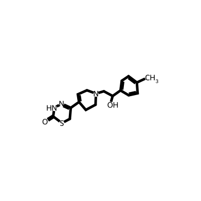 Cc1ccc(C(O)CN2CC=C(C3=NNC(=O)SC3)CC2)cc1